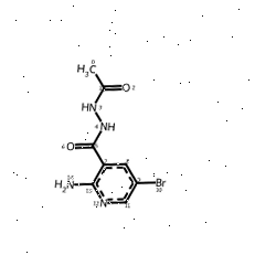 CC(=O)NNC(=O)c1cc(Br)cnc1N